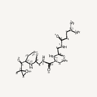 CCCN(CCC)CCC(=O)NCC(=O)NC(CC(C)C)C(=O)NCC(=O)NC(CC(C)C)C(=O)C1(C)CO1